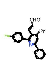 CC(C)c1cc(-c2ccccc2)nc(-c2ccc(F)cc2)c1C=CC=O